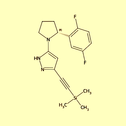 C[Si](C)(C)C#Cc1cc(N2CCC[C@@H]2c2cc(F)ccc2F)[nH]n1